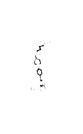 COCCCCOCC1CCN(c2ccc(-c3nnc(N)s3)cc2)CC1